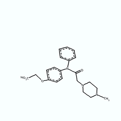 CN1CCN(CC(=O)N(c2ccccc2)c2ccc(OCC(=O)O)cc2)CC1